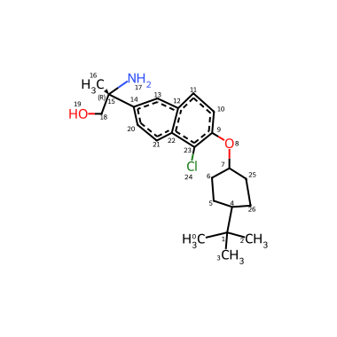 CC(C)(C)C1CCC(Oc2ccc3cc([C@@](C)(N)CO)ccc3c2Cl)CC1